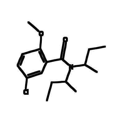 CCC(C)N(C(=O)c1cc(Cl)ccc1OC)C(C)CC